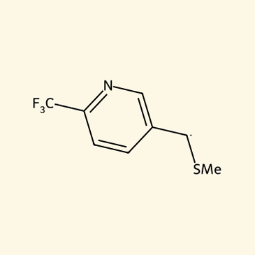 CS[CH]c1ccc(C(F)(F)F)nc1